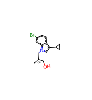 C[C@H](CO)Cn1cc(C2CC2)c2ccc(Br)cc21